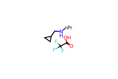 CCCNCC1CC1.O=C(O)C(F)(F)F